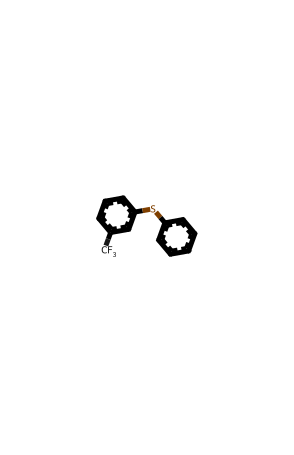 FC(F)(F)c1cccc(Sc2cc[c]cc2)c1